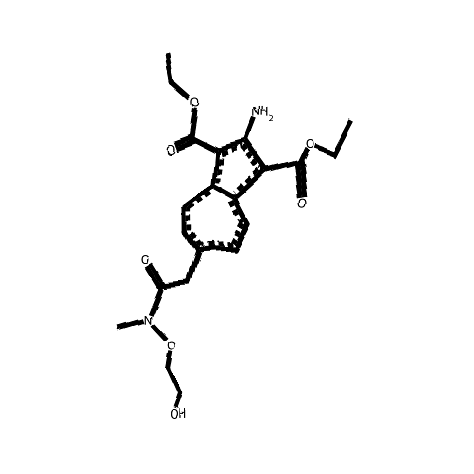 CCOC(=O)c1c2ccc(CC(=O)N(C)OCCO)ccc-2c(C(=O)OCC)c1N